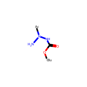 CC(=O)N(N)NC(=O)OC(C)(C)C